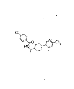 CC(NC(=O)c1ccc(Cl)cc1)C1CCC(c2ccc(C(F)(F)F)nc2)CC1